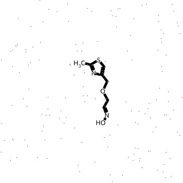 Cc1nc(COCC=NO)cs1